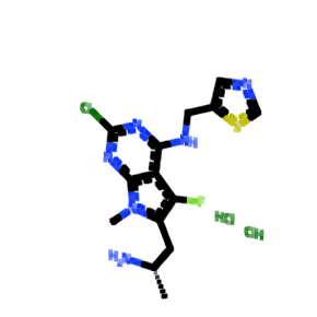 C[C@H](N)Cc1c(F)c2c(NCc3cncs3)nc(Cl)nc2n1C.Cl.Cl